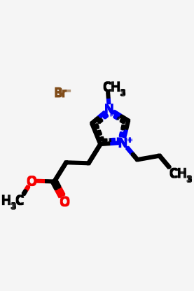 CCC[n+]1cn(C)cc1CCC(=O)OC.[Br-]